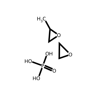 C1CO1.CC1CO1.O=P(O)(O)O